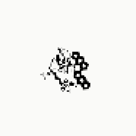 CN(C)CCCCS(=O)(=O)NC(=O)Nc1c2c(cc3c1CCC3C1CCc3cc4c(c(NC(=O)NS(=O)(=O)CC(C)(C)CN(C)C)c31)CCC4)CCC2